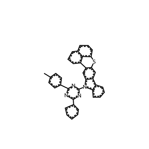 Cc1ccc(-c2nc(-c3ccccc3)nc(-n3c4ccccc4c4cc5c(cc43)-c3cccc4cccc(c34)S5)n2)cc1